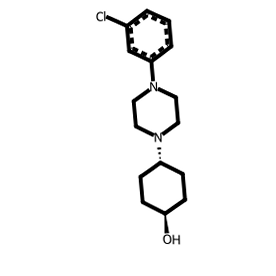 O[C@H]1CC[C@H](N2CCN(c3cccc(Cl)c3)CC2)CC1